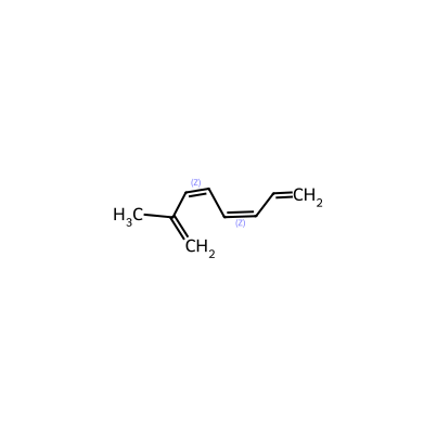 C=C/C=C\C=C/C(=C)C